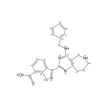 NC(=O)c1cccc2c(-c3nc4c(c(NCc5ccccc5)n3)CNCCC4)nsc12